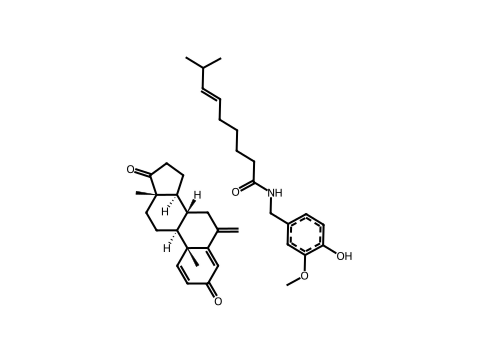 C=C1C[C@@H]2[C@H](CC[C@]3(C)C(=O)CC[C@@H]23)[C@@]2(C)C=CC(=O)C=C12.COc1cc(CNC(=O)CCCC/C=C/C(C)C)ccc1O